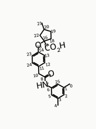 Cc1cc(C)cc(NC(=O)Cc2ccc(OC3(C(=O)O)CCC(C)C3)cc2)c1